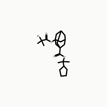 CCC(C)(C)C(=O)OC12CC3CC(C1)CC(C(=O)OC(C)(C)C1CCCC1)(C3)C2